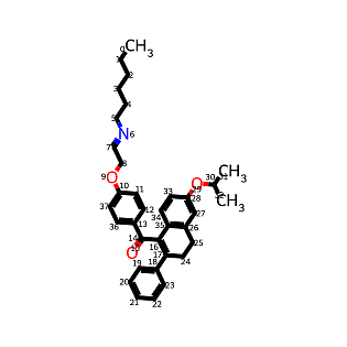 CCCCCCN=CCOc1ccc(C(=O)C2=C(c3ccccc3)CCc3cc(OC(C)C)ccc32)cc1